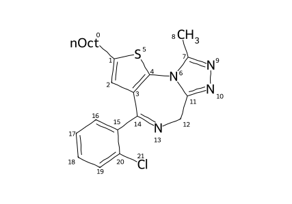 CCCCCCCCc1cc2c(s1)-n1c(C)nnc1CN=C2c1ccccc1Cl